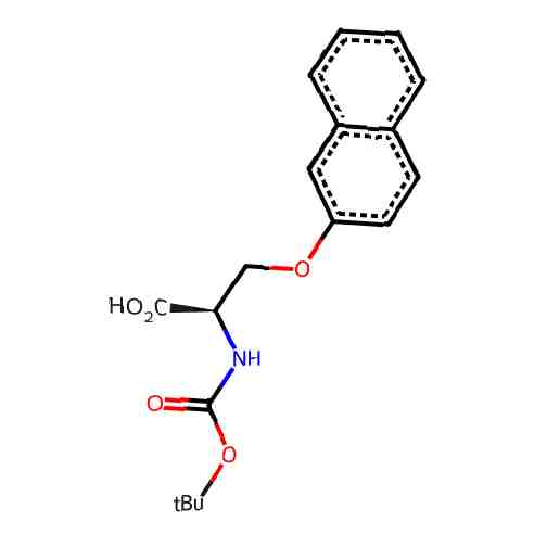 CC(C)(C)OC(=O)N[C@H](COc1ccc2ccccc2c1)C(=O)O